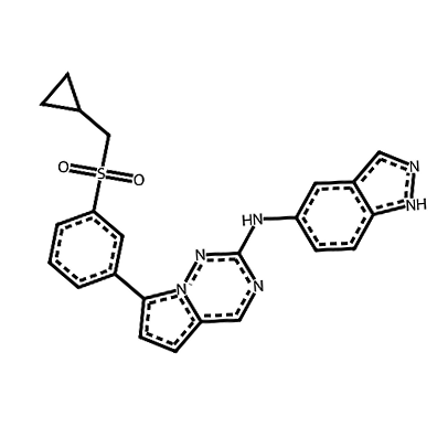 O=S(=O)(CC1CC1)c1cccc(-c2ccc3cnc(Nc4ccc5[nH]ncc5c4)nn23)c1